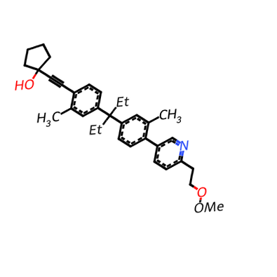 CCC(CC)(c1ccc(C#CC2(O)CCCC2)c(C)c1)c1ccc(-c2ccc(CCOOC)nc2)c(C)c1